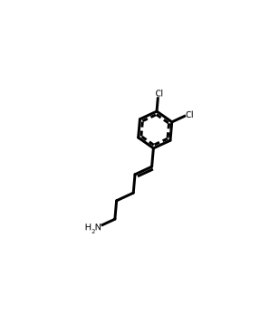 NCCCC=Cc1ccc(Cl)c(Cl)c1